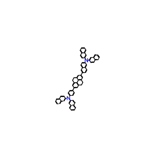 c1ccc2cc(N(c3ccc(-c4cc5c6c(c4)CCc4cc(-c7ccc8cc(N(c9ccc%10ccccc%10c9)c9ccc%10ccccc%10c9)ccc8c7)cc(c4-6)CC5)cc3)c3ccc4ccccc4c3)ccc2c1